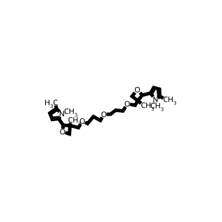 Cc1ccc(C2OCC2(C)COCCCOCCCOCC2(C)COC2c2ccc(C)n2C)n1C